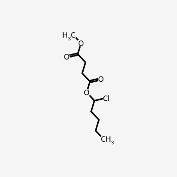 CCCCC(Cl)OC(=O)CCC(=O)OC